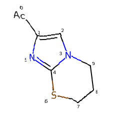 CC(=O)c1cn2c(n1)SCCC2